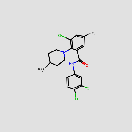 O=C(Nc1ccc(Cl)c(Cl)c1)c1cc(C(F)(F)F)cc(Cl)c1N1CCC(C(=O)O)CC1